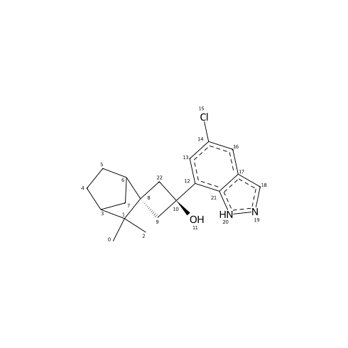 CC1(C)C2CCC(C2)[C@]12C[C@@](O)(c1cc(Cl)cc3cn[nH]c31)C2